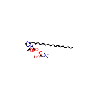 CCCCCCCCCCCCCCCCCC1=NCC[N+]1(CC(=O)O)C(C)O.C[N+](C)(C)CC(=O)O